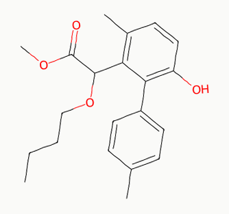 CCCCOC(C(=O)OC)c1c(C)ccc(O)c1-c1ccc(C)cc1